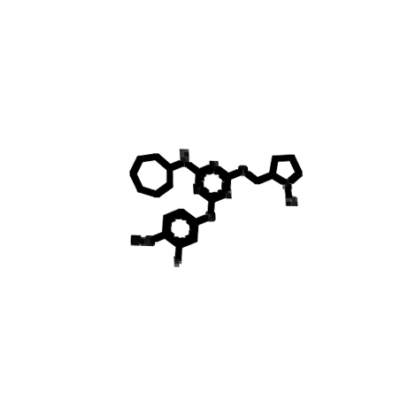 CCN1CCCC1COc1nc(NC2CCCCCC2)nc(Oc2ccc(OC)c(F)c2)n1